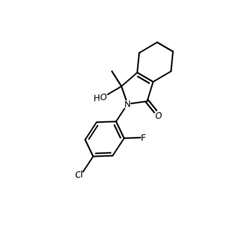 CC1(O)C2=C(CCCC2)C(=O)N1c1ccc(Cl)cc1F